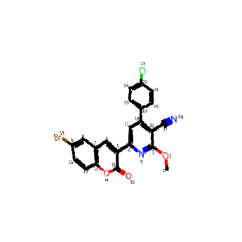 COc1nc(-c2cc3cc(Br)ccc3oc2=O)cc(-c2ccc(Cl)cc2)c1C#N